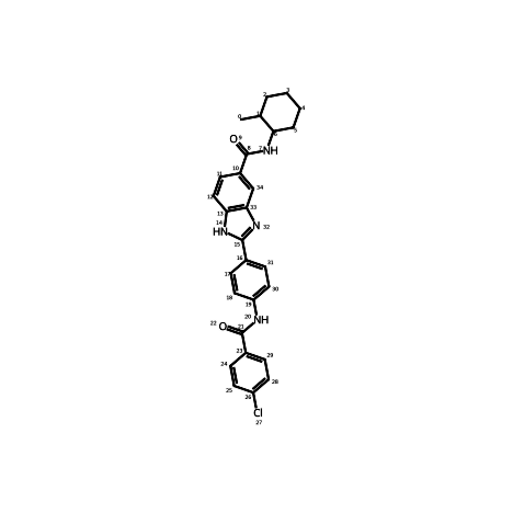 CC1CCCCC1NC(=O)c1ccc2[nH]c(-c3ccc(NC(=O)c4ccc(Cl)cc4)cc3)nc2c1